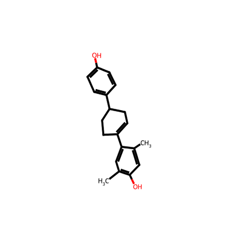 Cc1cc(C2=CCC(c3ccc(O)cc3)CC2)c(C)cc1O